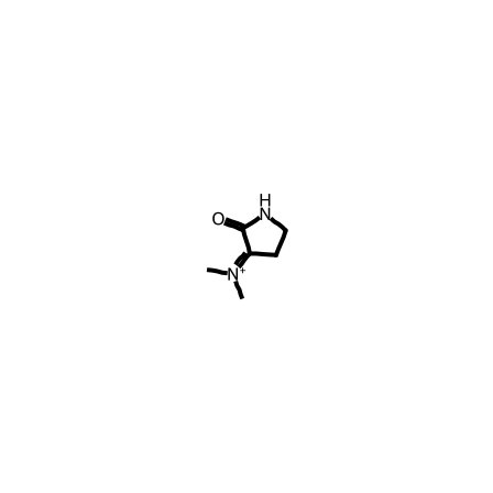 C[N+](C)=C1CCNC1=O